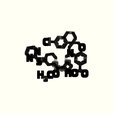 CO[C@@H]([C@H]1CCC[C@@H](Sc2ncccn2)C1)[C@@H]1CC[C@H]1CN1CC2(CCCc3cc(Cl)ccc32)COc2ccc(C(=O)O)cc21